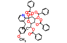 COc1ccc(Cc2cccnc2[C@@]2(O)O[C@H]([C@H](C)OC(=O)c3ccccc3)[C@@H](OC(=O)c3ccccc3)[C@H](OC(=O)c3ccccc3)[C@H]2OC(=O)c2ccccc2)cc1